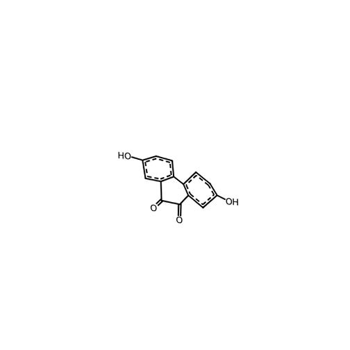 O=C1C(=O)c2cc(O)ccc2-c2ccc(O)cc21